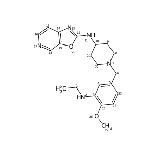 CCNc1cc(CN2CCC(Nc3nc4ccncc4o3)CC2)ccc1OC